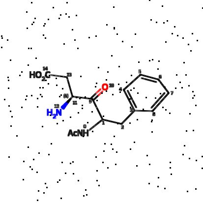 CC(=O)NC(Cc1ccccc1)C(=O)[C@@H](N)CC(=O)O